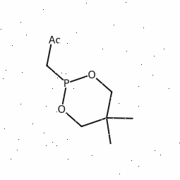 [CH2]C(=O)CP1OCC(C)(C)CO1